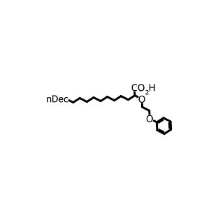 CCCCCCCCCCCCCCCCCCCC(OCCOc1ccccc1)C(=O)O